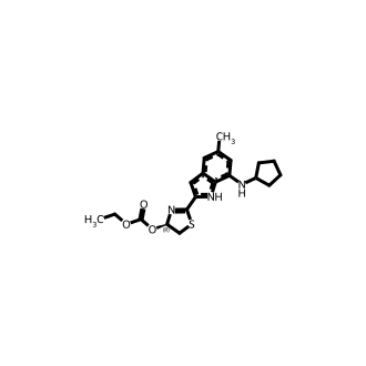 CCOC(=O)O[C@@H]1CSC(c2cc3cc(C)cc(NC4CCCC4)c3[nH]2)=N1